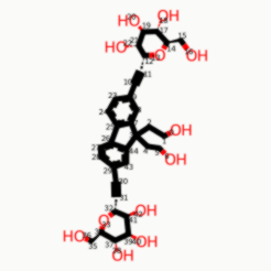 OCCC1(CCO)c2cc(C#C[C@H]3O[C@H](CO)[C@@H](O)[C@H](O)[C@H]3O)ccc2-c2ccc(C#C[C@H]3O[C@H](CO)[C@@H](O)[C@H](O)[C@@H]3O)cc21